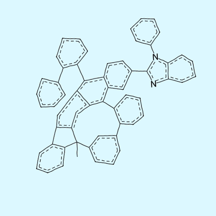 CC12c3cccc(c3)-c3ccccc3-c3c4cc(-c5nc6ccccc6n5-c5ccccc5)ccc4c(-c4ccccc4-c4ccccc4)c4cc(c1cc34)-c1ccccc12